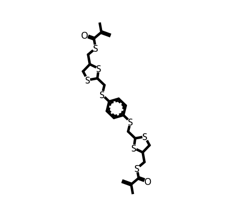 C=C(C)C(=O)SCC1CSC(CSc2ccc(SCC3SCC(CSC(=O)C(=C)C)S3)cc2)S1